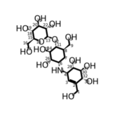 OCC1=C[C@@H](N[C@H]2C[C@H](CO)[C@@H](O[C@H]3O[C@@H](CO)[C@H](O)[C@@H](O)[C@@H]3O)[C@H](O)[C@H]2O)[C@H](O)[C@@H](O)[C@@H]1O